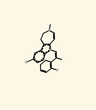 C/C(=C/n1c2c(c3cc(Cl)ccc31)CCN(C)C=C2)C1=C(Cl)C=CCC1